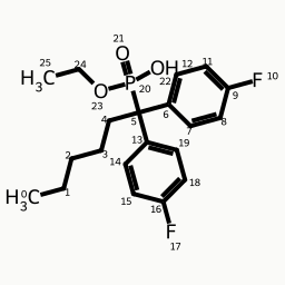 CCCCCC(c1ccc(F)cc1)(c1ccc(F)cc1)P(=O)(O)OCC